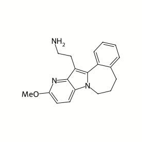 COc1ccc2c(n1)c(CCN)c1n2CCCc2ccccc2-1